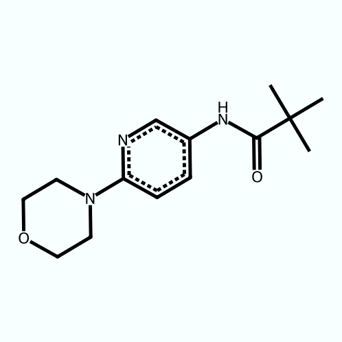 CC(C)(C)C(=O)Nc1ccc(N2CCOCC2)nc1